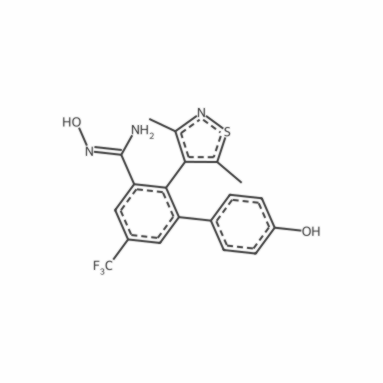 Cc1nsc(C)c1-c1c(/C(N)=N/O)cc(C(F)(F)F)cc1-c1ccc(O)cc1